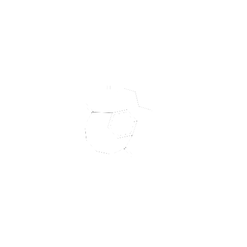 O=C(O)CCC(=O)O.O=C1OCCOC(=O)c2ccc1cc2